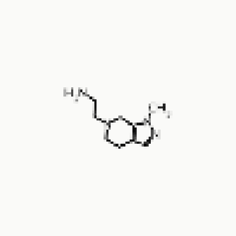 Cn1ncc2c1CN(CCN)CC2